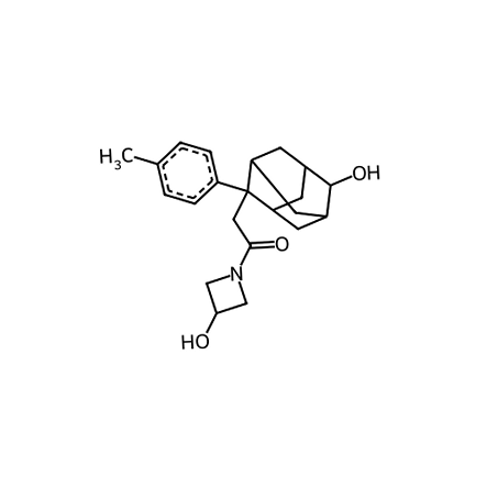 Cc1ccc(C2(CC(=O)N3CC(O)C3)C3CC4CC2CC(C3)C4O)cc1